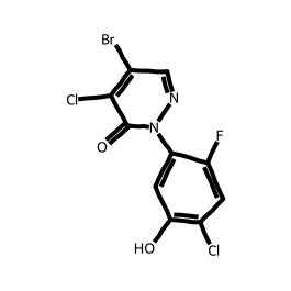 O=c1c(Cl)c(Br)cnn1-c1cc(O)c(Cl)cc1F